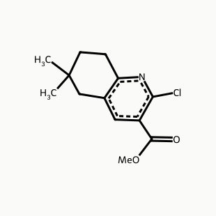 COC(=O)c1cc2c(nc1Cl)CCC(C)(C)C2